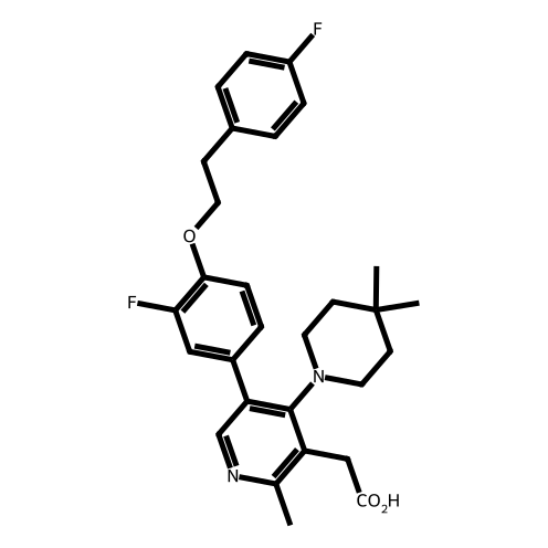 Cc1ncc(-c2ccc(OCCc3ccc(F)cc3)c(F)c2)c(N2CCC(C)(C)CC2)c1CC(=O)O